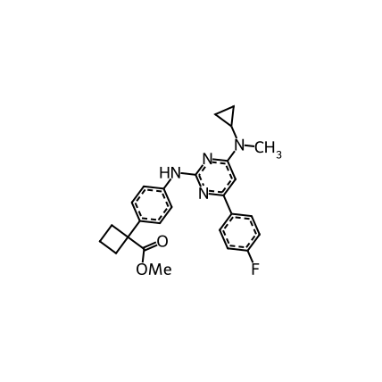 COC(=O)C1(c2ccc(Nc3nc(-c4ccc(F)cc4)cc(N(C)C4CC4)n3)cc2)CCC1